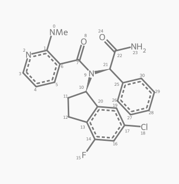 CNc1ncccc1C(=O)N([C@@H]1CCc2c(F)cc(Cl)cc21)[C@@H](C(N)=O)c1ccccc1